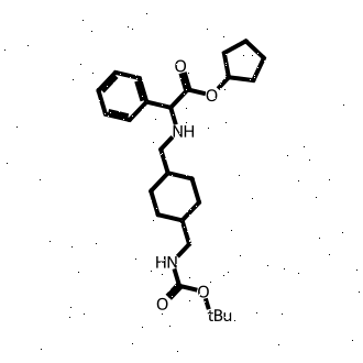 CC(C)(C)OC(=O)NCC1CCC(CNC(C(=O)OC2CCCC2)c2ccccc2)CC1